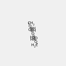 C=Cc1ccc(NC(=O)NCc2ccc(CNC(=O)Nc3ccc(C=C)cc3)cc2)cc1